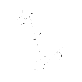 O=CN(C=O)CCCCC(C(O)O)N(C=O)C(=O)OCCOC(=O)N(C=O)CCCCC(C(=O)O)N(C=O)C=O